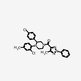 Cc1ccc(N2CCN(C(=O)c3nn(-c4ccccc4)nc3C)CC2c2ccc(Cl)cc2)c(Cl)c1